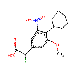 COc1cc(C(Cl)C(=O)O)cc([N+](=O)[O-])c1C1CCCCC1